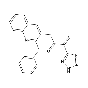 O=C(Cc1cc2ccccc2nc1Cc1ccccc1)C(=O)c1nn[nH]n1